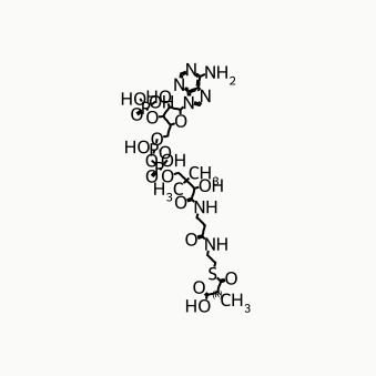 C[C@H](C(=O)O)C(=O)SCCNC(=O)CCNC(=O)C(O)C(C)(C)COP(=O)(O)OP(=O)(O)OCC1OC(n2cnc3c(N)ncnc32)C(O)C1OP(=O)(O)O